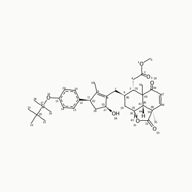 COC(=O)C[C@H]1[C@H](CC2=C(C)[C@H](c3ccc(O[Si](C)(C)C(C)(C)C)cc3)C[C@@H]2O)C[C@@H]2OC(=O)[C@]3(C)C=CC(=O)C1(C)[C@@H]23